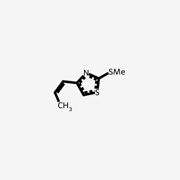 C/C=C\c1csc(SC)n1